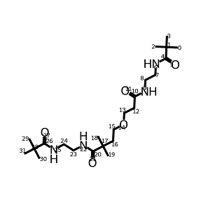 CC(C)(C)C(=O)NCCNC(=O)CCOCCC(C)(C)C(=O)NCCNC(=O)C(C)(C)C